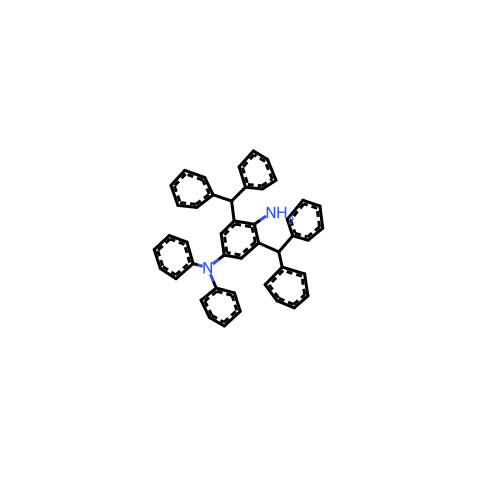 Nc1c(C(c2ccccc2)c2ccccc2)cc(N(c2ccccc2)c2ccccc2)cc1C(c1ccccc1)c1ccccc1